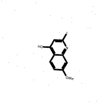 COc1ccc2c(O)cc(I)nc2c1